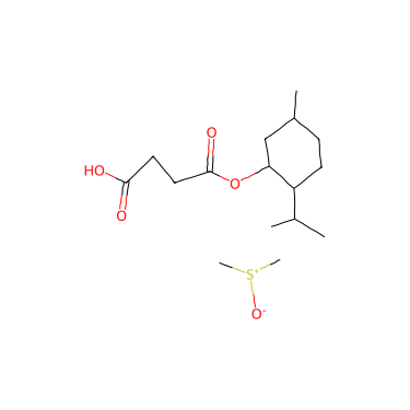 CC1CCC(C(C)C)C(OC(=O)CCC(=O)O)C1.C[S+](C)[O-]